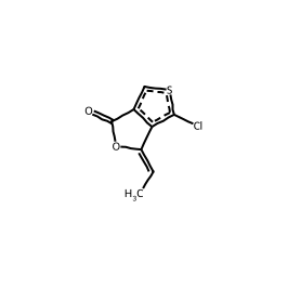 C/C=C1\OC(=O)c2csc(Cl)c21